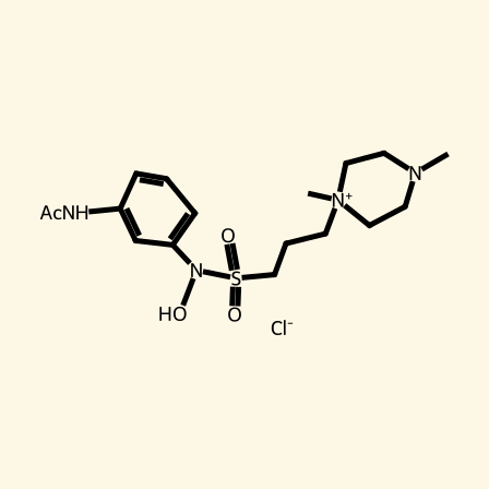 CC(=O)Nc1cccc(N(O)S(=O)(=O)CCC[N+]2(C)CCN(C)CC2)c1.[Cl-]